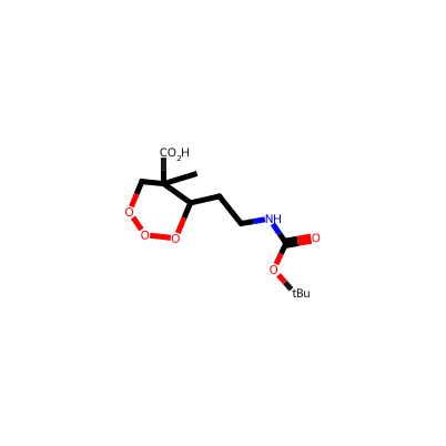 CC(C)(C)OC(=O)NCCC1OOOCC1(C)C(=O)O